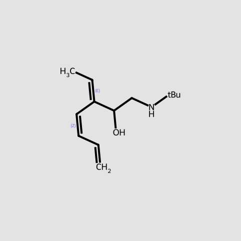 C=C/C=C\C(=C/C)C(O)CNC(C)(C)C